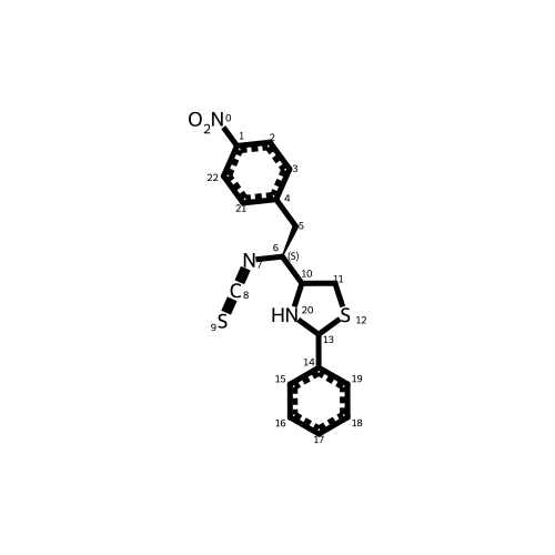 O=[N+]([O-])c1ccc(C[C@H](N=C=S)C2CSC(c3ccccc3)N2)cc1